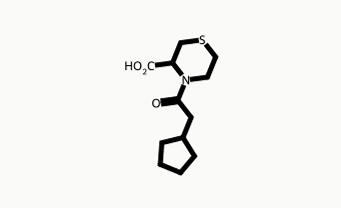 O=C(O)C1CSCCN1C(=O)CC1CCCC1